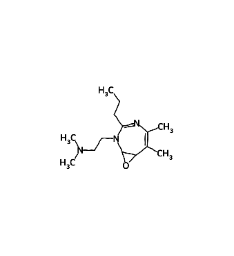 CCCC1=NC(C)=C(C)C2OC2N1CCN(C)C